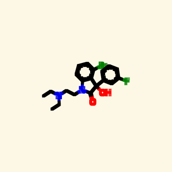 CCN(CC)CCN1C(=O)C(O)(c2cccc(F)c2)c2c(Br)cccc21